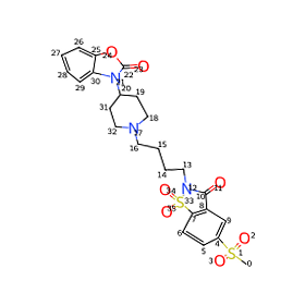 CS(=O)(=O)c1ccc2c(c1)C(=O)N(CCCCN1CCC(n3c(=O)oc4ccccc43)CC1)S2(=O)=O